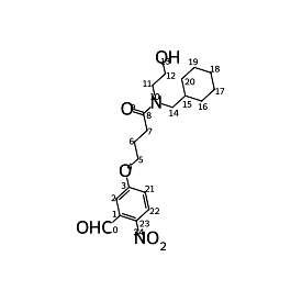 O=Cc1cc(OCCCC(=O)N(CCO)CC2CCCCC2)ccc1[N+](=O)[O-]